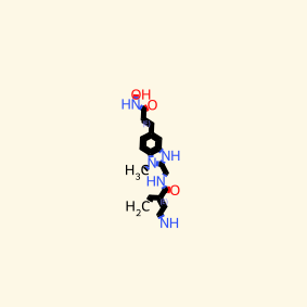 C=C/C(=C\C=N)C(=O)NCC1Nc2cc(/C=C/C(=O)NO)ccc2N1C